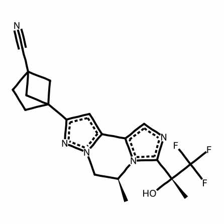 C[C@H]1Cn2nc(C34CCC(C#N)(C3)C4)cc2-c2cnc([C@@](C)(O)C(F)(F)F)n21